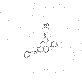 CC1C=C(N2CCC3(CC2)CO3)C=C[C@@H]1C1c2ccc(OCc3ccccc3)cc2CC[C@@H]1c1ccccc1